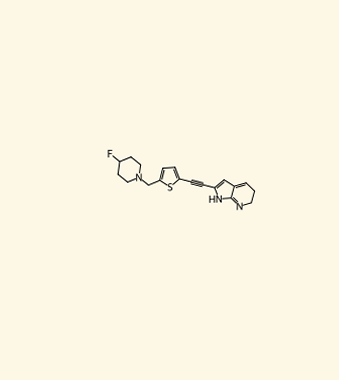 FC1CCN(Cc2ccc(C#Cc3cc4c([nH]3)=NCCC=4)s2)CC1